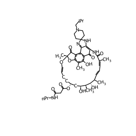 CCCNC(=O)CC(=O)O[C@@H]1CC/C=C/O[C@@]2(C)Oc3c(C)c(O)c4c(c3C2=O)C2=NC3(CCN(CC(C)C)CC3)NC2=C(NC(=O)/C(C)=C\C=C\C(C)[C@H](O)[C@@H](C)[C@@H](O)C1)C4=O